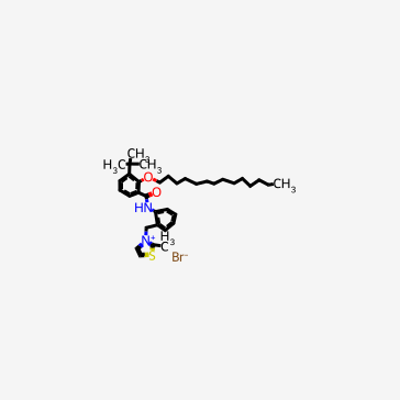 CCCCCCCCCCCCCCOc1c(C(=O)Nc2ccccc2C[n+]2ccsc2C)cccc1C(C)(C)C.[Br-]